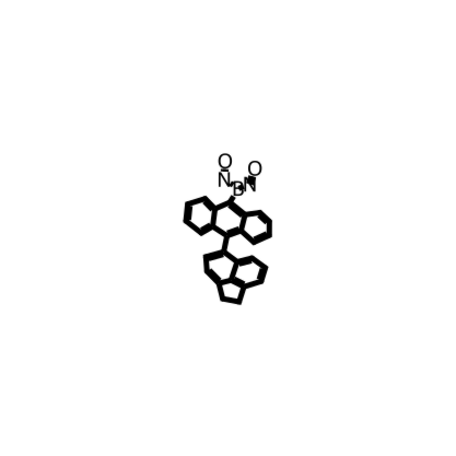 O=NB(N=O)c1c2ccccc2c(-c2ccc3c4c(cccc24)CC3)c2ccccc12